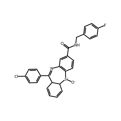 O=C(NCc1ccc(F)cc1)c1ccc2c(c1)N=C(c1ccc(Cl)cc1)C1C=CC=CC1[S+]2[O-]